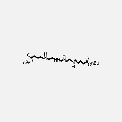 CCCCOC(=O)CCCCNCCNCCNCCNCCCCC(=O)OCCC